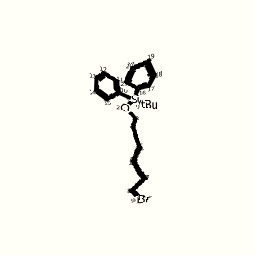 CC(C)(C)[Si](OCCCCCCBr)(c1ccccc1)c1ccccc1